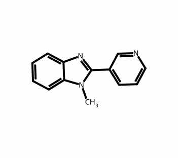 Cn1c(-c2cccnc2)nc2ccccc21